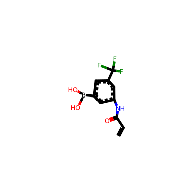 C=CC(=O)Nc1cc(B(O)O)cc(C(F)(F)F)c1